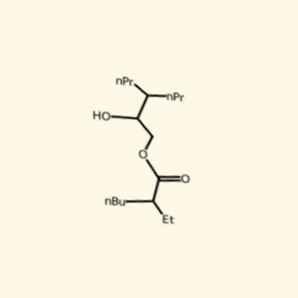 CCCCC(CC)C(=O)OCC(O)C(CCC)CCC